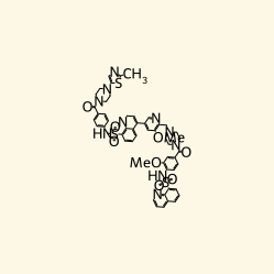 COc1cc(C(=O)N2CCN(Cc3ncc(-c4ccnc5c(S(=O)(=O)Nc6ccc(C(=O)N7CCN(c8cnc(C)s8)CC7)cc6)cccc45)cc3OC)CC2)ccc1NS(=O)(=O)c1cccc2cccnc12